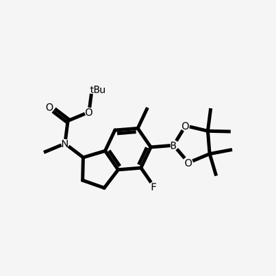 Cc1cc2c(c(F)c1B1OC(C)(C)C(C)(C)O1)CCC2N(C)C(=O)OC(C)(C)C